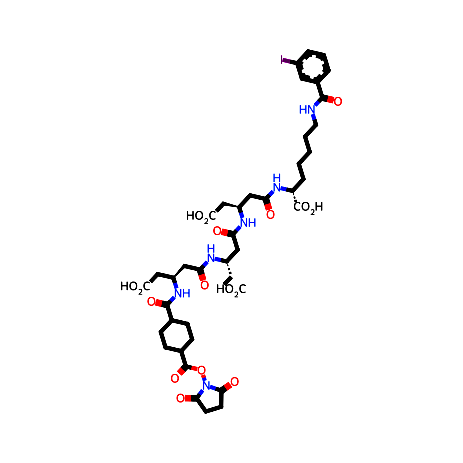 O=C(O)C[C@@H](CC(=O)N[C@@H](CC(=O)O)CC(=O)N[C@H](CCCCCNC(=O)c1cccc(I)c1)C(=O)O)NC(=O)C[C@H](CC(=O)O)NC(=O)C1CCC(C(=O)ON2C(=O)CCC2=O)CC1